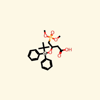 COP(=O)(CC(CC(=O)O)O[Si](c1ccccc1)(c1ccccc1)C(C)(C)C)OC